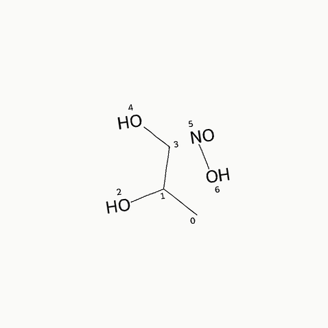 CC(O)CO.O=NO